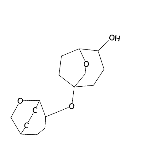 OC1CCC2(OC3CCC4CCC3OC4)CCC1OC2